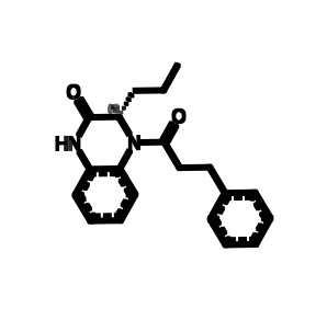 CCC[C@H]1C(=O)Nc2ccccc2N1C(=O)CCc1ccccc1